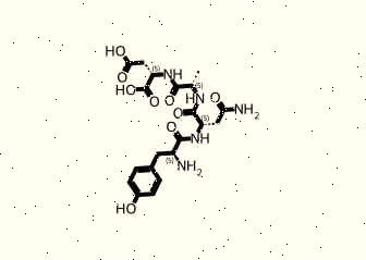 C[C@H](NC(=O)[C@H](CC(N)=O)NC(=O)[C@@H](N)Cc1ccc(O)cc1)C(=O)N[C@@H](CC(=O)O)C(=O)O